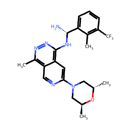 Cc1c([C@@H](N)Nc2nnc(C)c3cnc(N4C[C@H](C)O[C@@H](C)C4)cc23)cccc1C(F)(F)F